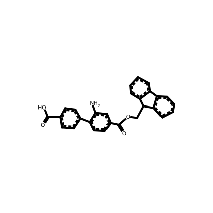 Nc1cc(C(=O)OCC2c3ccccc3-c3ccccc32)ccc1-c1ccc(C(=O)O)cc1